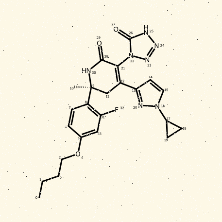 CCCCOc1ccc([C@]2(C)CC(c3ccn(C4CC4)n3)=C(n3nn[nH]c3=O)C(=O)N2)c(F)c1